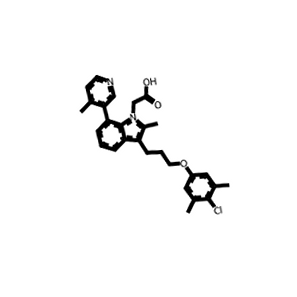 Cc1ccncc1-c1cccc2c(CCCOc3cc(C)c(Cl)c(C)c3)c(C)n(CC(=O)O)c12